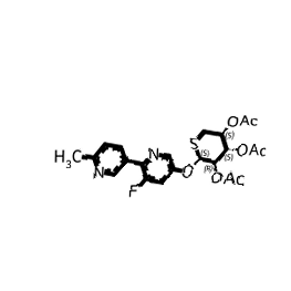 CC(=O)O[C@@H]1[C@@H](OC(C)=O)[C@@H](Oc2cnc(-c3ccc(C)nc3)c(F)c2)SC[C@H]1OC(C)=O